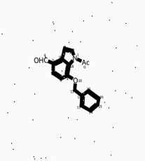 CC(=O)n1ccc2c(C=O)ccc(OCc3ccccc3)c21